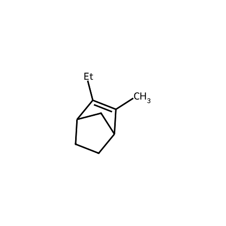 CCC1=C(C)C2CCC1C2